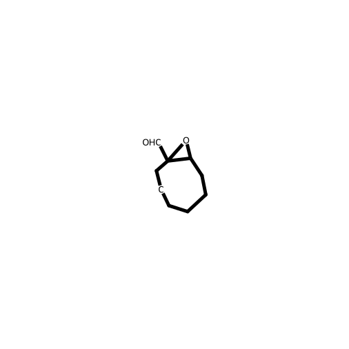 O=CC12CCCCCCC1O2